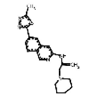 C=C(CN1CCCCC1)Nc1cc2cc(-c3nnc(C)s3)ccc2cn1